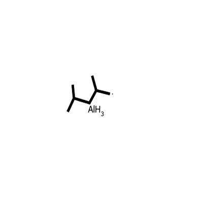 [AlH3].[CH2]C(C)CC(C)C